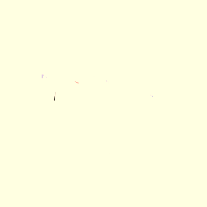 COc1ccc(C[C@H]2NC[C@H](O)[C@H]2OC(=O)NC[C@@H]2CCN(C)C2)cc1